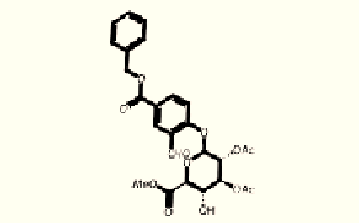 COC(=O)[C@H]1O[C@@H](Oc2ccc(C(=O)OCc3ccccc3)cc2C=O)[C@H](OC(C)=O)[C@@H](OC(C)=O)[C@@H]1O